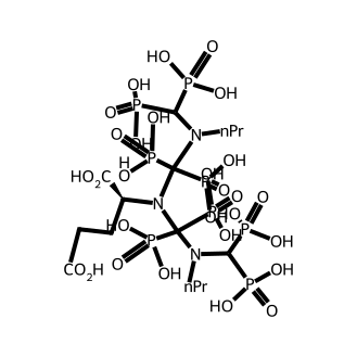 CCCN(C(P(=O)(O)O)P(=O)(O)O)C(N([C@@H](CCC(=O)O)C(=O)O)C(N(CCC)C(P(=O)(O)O)P(=O)(O)O)(P(=O)(O)O)P(=O)(O)O)(P(=O)(O)O)P(=O)(O)O